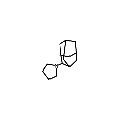 C1CCN(C2[C]3CC4CC(C3)CC2C4)C1